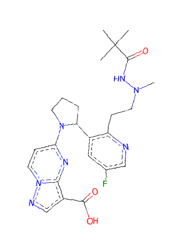 CN(CCc1ncc(F)cc1C1CCCN1c1ccn2ncc(C(=O)O)c2n1)NC(=O)C(C)(C)C